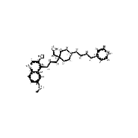 COc1ccc2ncc(Cl)c(CCCC3(CO)CCN(CCCCc4ccncc4)CC3)c2c1